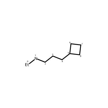 CC[N]CCCC1CCC1